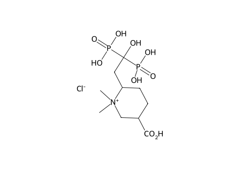 C[N+]1(C)CC(C(=O)O)CCC1CC(O)(P(=O)(O)O)P(=O)(O)O.[Cl-]